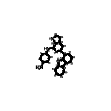 Nc1ccc(Nc2nc(-c3cccc4c3oc3ccccc34)cc3ccnn23)cc1